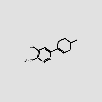 CCc1cc(C2=CCC(C)CC2)nnc1OC